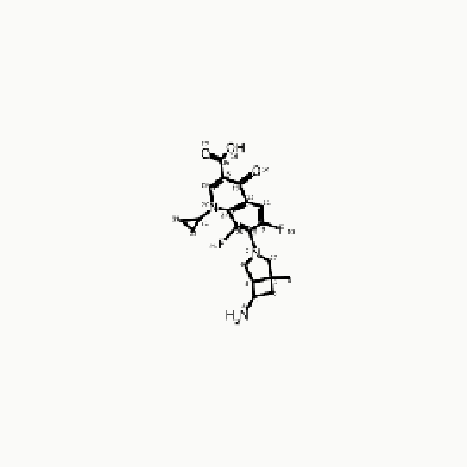 CC12CC(N)C1CN(c1c(F)cc3c(=O)c(C(=O)O)cn(C4CC4)c3c1F)C2